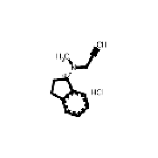 C#CCN(C)[C@H]1CCc2ccccc21.Cl